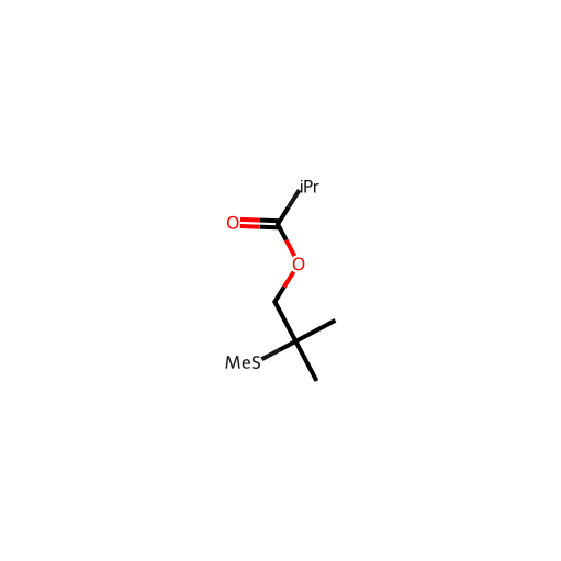 CSC(C)(C)COC(=O)C(C)C